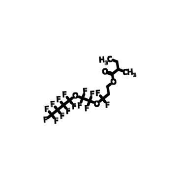 CCC(C)C(=O)OCCC(F)(F)OC(F)(F)C(F)(F)OC(F)(F)C(F)(F)C(F)(F)C(F)(F)F